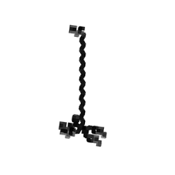 CCCCCCCCCCCCCCCCCCCCC(CC)(C(N)=O)N(CC)CC